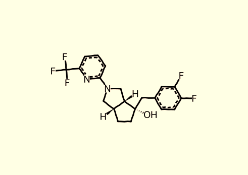 O[C@]1(Cc2ccc(F)c(F)c2)CC[C@@H]2CN(c3cccc(C(F)(F)F)n3)C[C@@H]21